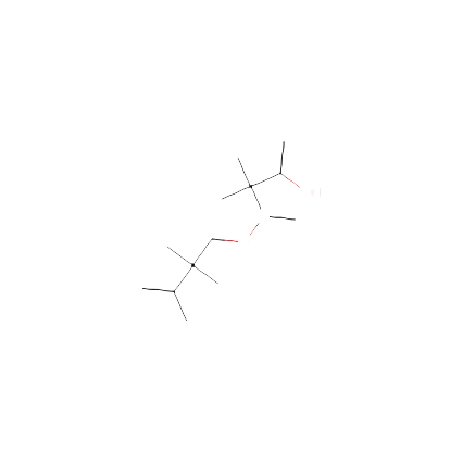 CB(OCC(C)(C)C(C)C)C(C)(C)C(C)O